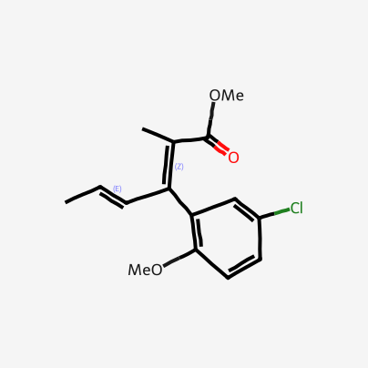 C/C=C/C(=C(\C)C(=O)OC)c1cc(Cl)ccc1OC